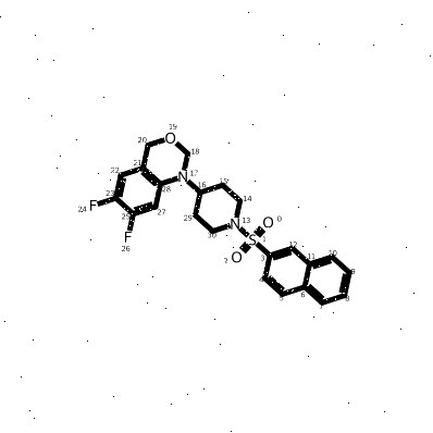 O=S(=O)(c1ccc2ccccc2c1)N1CCC(N2COCc3cc(F)c(F)cc32)CC1